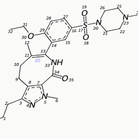 CCCc1nn(C)c2c1CC/C(C)=C(/c1cc(S(=O)(=O)N3CCN(C)CC3)ccc1OCC)NC2=O